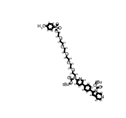 Cc1ccc(S(=O)(=O)OCCOCCOCCOCCOCCOCCN(C(=O)OC(C)(C)C)c2ccc(-c3ccc(-c4cc5ccncc5n4C(=O)OC(C)(C)C)cc3)cn2)cc1